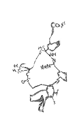 CCOC(=O)CCc1cccc([C@@]2(C)CCCC(C)(C)C[S+]([O-])CCc3c(c(F)c(F)c4[nH]ccc34)Sc3ccnc(c3)/C(NC)=N/C2=N)c1